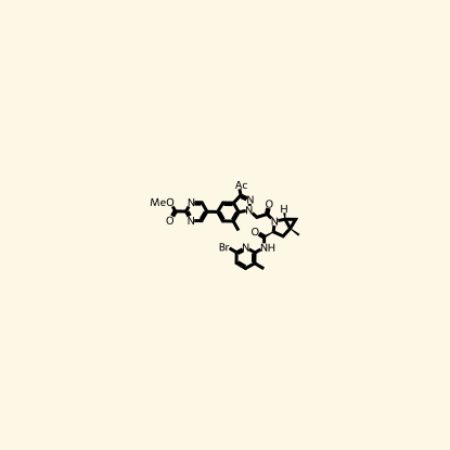 COC(=O)c1ncc(-c2cc(C)c3c(c2)c(C(C)=O)nn3CC(=O)N2[C@H](C(=O)Nc3nc(Br)ccc3C)C[C@@]3(C)C[C@@H]23)cn1